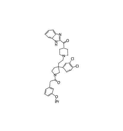 CC(C)Oc1cccc(CC(=O)N2CCC(CCN3CCC(C(=O)c4nc5ccccc5[nH]4)CC3)(c3ccc(Cl)c(Cl)c3)C2)c1